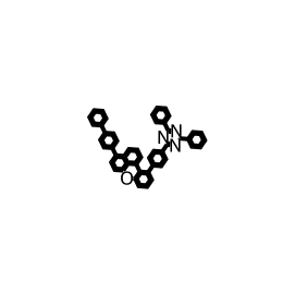 c1ccc(-c2ccc(-c3ccc4c5c(cccc35)-c3c(cccc3-c3ccc(-c5nc(-c6ccccc6)nc(-c6ccccc6)n5)cc3)O4)cc2)cc1